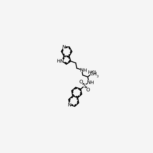 CC(CNCCc1c[nH]c2cnccc12)NS(=O)(=O)c1ccc2cnccc2c1.Cl